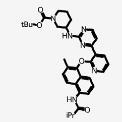 Cc1ccc2c(NC(=O)C(C)C)cccc2c1Oc1ncccc1-c1ccnc(NC2CCCN(C(=O)OC(C)(C)C)C2)n1